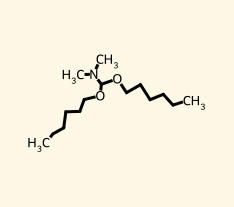 CCCCCCOC(OCCCCCC)N(C)C